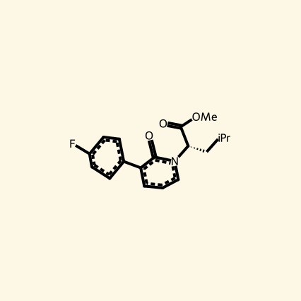 COC(=O)[C@H](CC(C)C)n1cccc(-c2ccc(F)cc2)c1=O